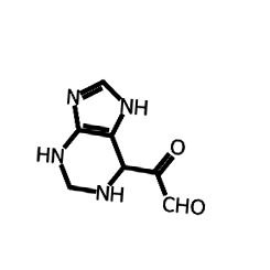 O=CC(=O)C1NCNc2nc[nH]c21